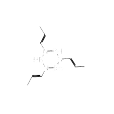 CC=CN1BN(C=CC)BN(C=CC)B1